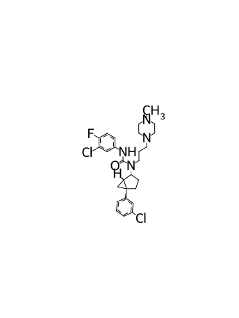 CN1CCN(CCCN(C(=O)Nc2ccc(F)c(Cl)c2)[C@@H]2CC[C@]3(c4cccc(Cl)c4)C[C@H]23)CC1